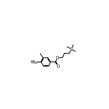 Cc1cc(C(=O)OCCC[Si](C)(C)C)ccc1C(C)(C)C